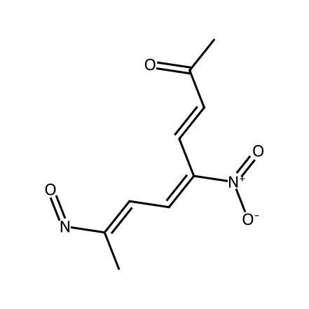 CC(=O)/C=C/C(=C\C=C(/C)N=O)[N+](=O)[O-]